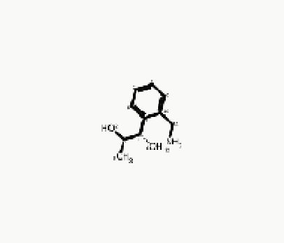 C[C@@H](O)[C@@H](O)c1ccccc1CN